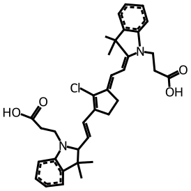 CC1(C)/C(=C\C=C2/CCC(/C=C/C3N(CCC(=O)O)c4ccccc4C3(C)C)=C2Cl)N(CCC(=O)O)c2ccccc21